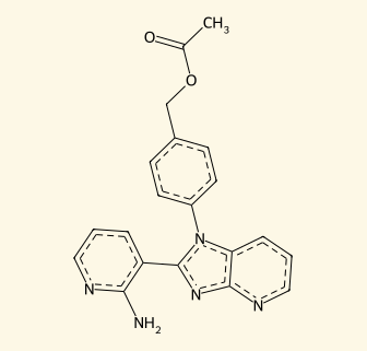 CC(=O)OCc1ccc(-n2c(-c3cccnc3N)nc3ncccc32)cc1